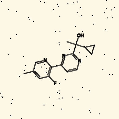 Cc1cnc(-c2ccnc(C(C)(O)C3CC3)n2)c(F)c1